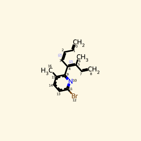 C=C/C=C\C(=C(/C)C=C)c1nc(Br)ccc1C